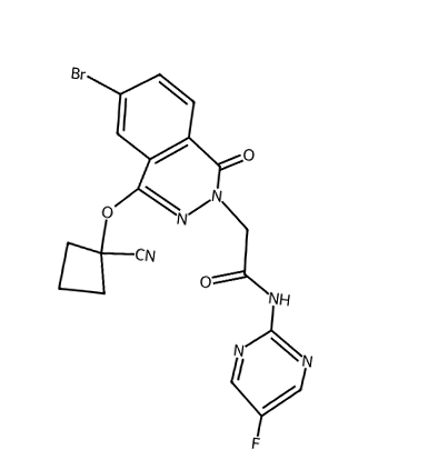 N#CC1(Oc2nn(CC(=O)Nc3ncc(F)cn3)c(=O)c3ccc(Br)cc23)CCC1